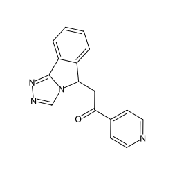 O=C(CC1c2ccccc2-c2nncn21)c1ccncc1